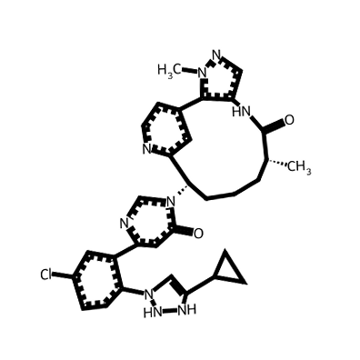 C[C@@H]1CCC[C@H](n2cnc(-c3cc(Cl)ccc3N3C=C(C4CC4)NN3)cc2=O)c2cc(ccn2)-c2c(cnn2C)NC1=O